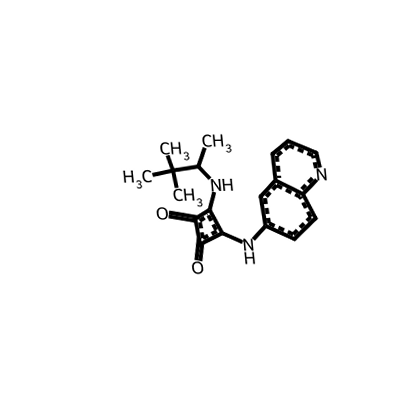 CC(Nc1c(Nc2ccc3ncccc3c2)c(=O)c1=O)C(C)(C)C